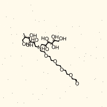 C[C@H](CO)[C@@H](O)[C@H](O)[C@@H](O)CN(CCOCCOCCOCCOCC=O)C[C@H](O)[C@@H](O)[C@H](O)[C@H](O)CO